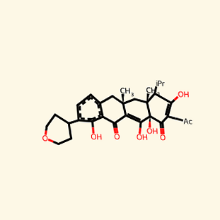 CC(=O)C1=C(O)C(C(C)C)[C@@]2(C)C[C@@]3(C)Cc4ccc(C5CCOCC5)c(O)c4C(=O)C3=C(O)[C@@]2(O)C1=O